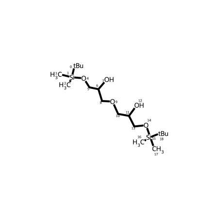 CC(C)(C)[Si](C)(C)OCC(O)COCC(O)CO[Si](C)(C)C(C)(C)C